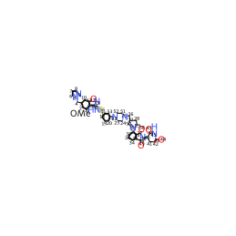 COc1cc(Cn2cccn2)cc2onc(NSc3cccc(N4CCN(CC5CCN(c6cccc7c6C(=O)N(C6CCC(=O)NC6=O)C7=O)C5)CC4)c3)c12